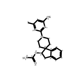 Cc1cc(C#N)nc(N2CCC3(CC2)c2ccccc2C[C@H]3OC(N)=O)n1